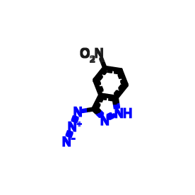 [N-]=[N+]=Nc1n[nH]c2ccc([N+](=O)[O-])cc12